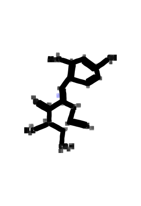 COc1cc(O)ccc1/C=C(\SC=S)C(=O)N(C)CC(=O)O